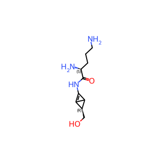 NCCC[C@H](N)C(=O)NC1=C2C1[C@H]2CO